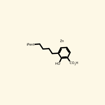 CCCC(C)CCCCc1cccc(C(=O)O)c1O.[Zn]